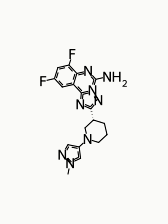 Cn1cc(N2CCC[C@@H](c3nc4c5cc(F)cc(F)c5nc(N)n4n3)C2)cn1